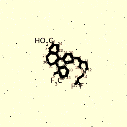 Cc1c(C2=C(c3ccc(C=C4CCN(CCC(F)F)C4)cc3)c3ccc(C(=O)O)cc3CCC2)cccc1C(F)(F)F